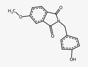 COc1ccc2c(c1)C(=O)N(Cc1ccc(O)cc1)C2=O